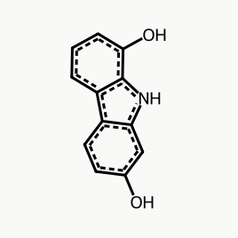 Oc1ccc2c(c1)[nH]c1c(O)cccc12